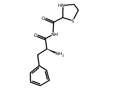 N[C@@H](Cc1ccccc1)C(=O)NC(=O)C1NCCS1